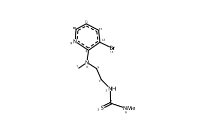 CNC(=S)NCCN(C)c1ncccc1Br